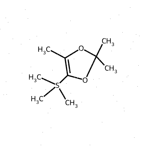 CC1=C(S(C)(C)C)OC(C)(C)O1